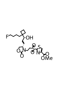 COC(=O)c1csc(S(=O)(=O)CCN2C(=O)OC[C@@H]2C=C[C@@H](O)C2(CCCCF)CCC2)n1